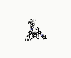 CCN(CC)c1ccc(/N=N/c2nc(C)cs2)c(Nc2nc(Nc3cc(N(CC)CC)ccc3/N=N/c3nc(C)c(S(=O)(=O)O)s3)nc(SCCO)n2)c1